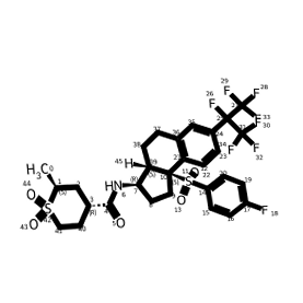 C[C@H]1C[C@H](C(=O)N[C@@H]2CC[C@@]3(S(=O)(=O)c4ccc(F)cc4)c4ccc(C(F)(C(F)(F)F)C(F)(F)F)cc4CC[C@@H]23)CCS1(=O)=O